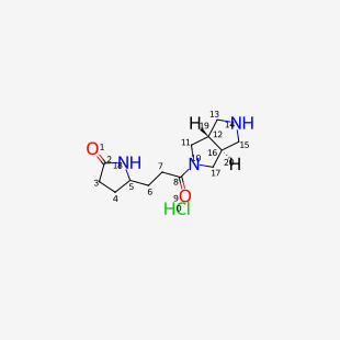 Cl.O=C1CCC(CCC(=O)N2C[C@@H]3CNC[C@H]3C2)N1